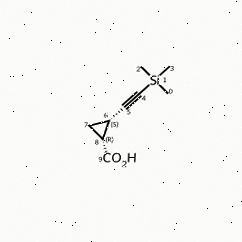 C[Si](C)(C)C#C[C@H]1C[C@H]1C(=O)O